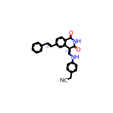 N#CCc1ccc(N/C=C2\C(=O)NC(=O)c3ccc(/C=C/c4ccccc4)cc32)cc1